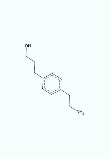 NCCc1ccc(CCCO)cc1